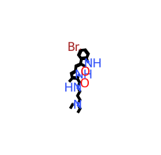 CCN(CC)CCCNC(=O)c1[nH]c(/C=C2\C(=O)Nc3ccc(Br)cc32)cc1C